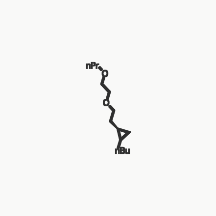 CCCCC1C[C@@H]1CCOCCOCCC